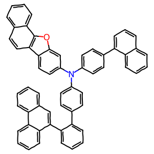 c1ccc(-c2cc3ccccc3c3ccccc23)c(-c2ccc(N(c3ccc(-c4cccc5ccccc45)cc3)c3ccc4c(c3)oc3c5ccccc5ccc43)cc2)c1